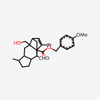 COc1ccc(COC(=O)C23C(C(C)C)=CC4CC2(C=O)C2CCC(C)C2CC43CO)cc1